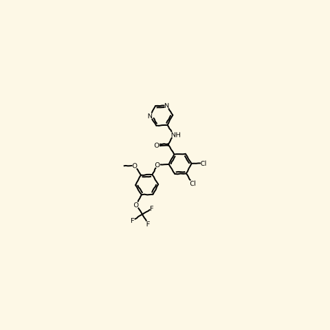 COc1cc(OC(F)(F)F)ccc1Oc1cc(Cl)c(Cl)cc1C(=O)Nc1cncnc1